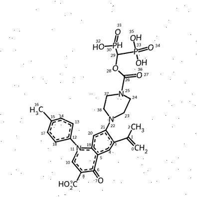 C=C(C)c1cc2c(=O)c(C(=O)O)cn(-c3ccc(C)cc3)c2cc1N1CCN(C(=O)OC([PH](=O)O)P(=O)(O)O)CC1